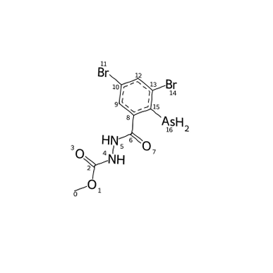 COC(=O)NNC(=O)c1cc(Br)cc(Br)c1[AsH2]